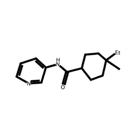 CCC1(C)CCC(C(=O)Nc2cccnc2)CC1